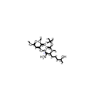 COC(=O)C=C(O/N=C(\N)C(CCCC(C)O)N(C)C(=O)OC(C)(C)C)C(=O)OC